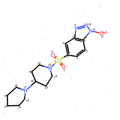 O=S(=O)(c1ccc2c(c1)nnn2O)N1CCC(N2CCCCC2)CC1